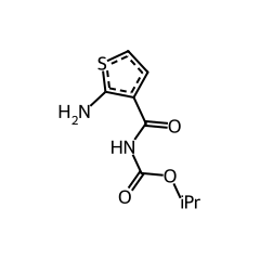 CC(C)OC(=O)NC(=O)c1ccsc1N